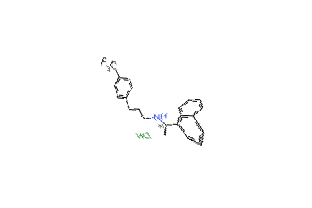 C[C@@H](NCCCc1ccc(C(F)(F)F)cc1)c1cccc2ccccc12.Cl